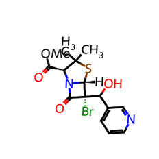 COC(=O)[C@@H]1N2C(=O)[C@](Br)(C(O)c3cccnc3)[C@H]2SC1(C)C